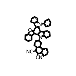 N#Cc1c(C#N)c2ccc(-n3c4ccccc4c4c5c(c6ccccc6n5-c5ccccc5)c5oc6ccccc6c5c43)cc2c2ccccc12